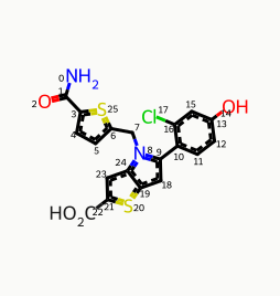 NC(=O)c1ccc(Cn2c(-c3ccc(O)cc3Cl)cc3sc(C(=O)O)cc32)s1